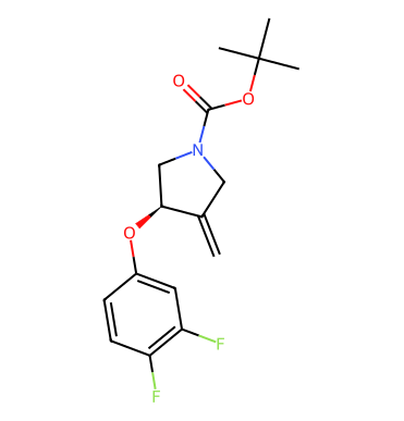 C=C1CN(C(=O)OC(C)(C)C)C[C@@H]1Oc1ccc(F)c(F)c1